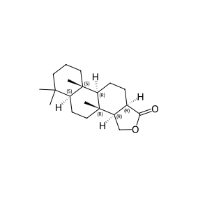 CC1(C)CCC[C@]2(C)[C@H]3CC[C@H]4C(=O)OC[C@H]4[C@]3(C)CC[C@@H]12